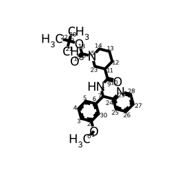 COc1cccc(C(NC(=O)C2CCCN(C(=O)OC(C)(C)C)C2)c2ccccn2)c1